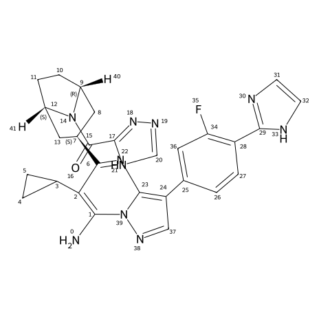 Nc1c(C2CC2)c([C@@H]2C[C@H]3CC[C@@H](C2)N3C(=O)c2nnc[nH]2)nc2c(-c3ccc(-c4ncc[nH]4)c(F)c3)cnn12